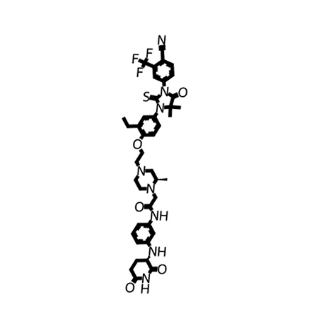 CCc1cc(N2C(=S)N(c3ccc(C#N)c(C(F)(F)F)c3)C(=O)C2(C)C)ccc1OCCN1CCN(CC(=O)Nc2cccc(N[C@@H]3CCC(=O)NC3=O)c2)[C@H](C)C1